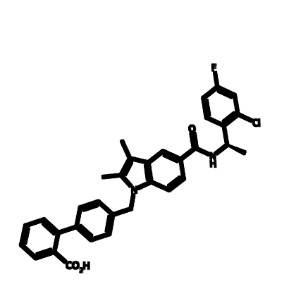 Cc1c(C)n(Cc2ccc(-c3ccccc3C(=O)O)cc2)c2ccc(C(=O)N[C@H](C)c3ccc(F)cc3Cl)cc12